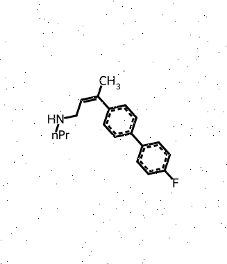 CCCNC/C=C(/C)c1ccc(-c2ccc(F)cc2)cc1